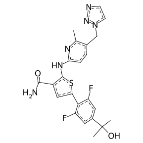 Cc1nc(Nc2sc(-c3c(F)cc(C(C)(C)O)cc3F)cc2C(N)=O)ccc1Cn1ccnn1